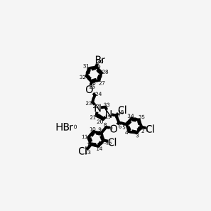 Br.Clc1ccc(C(OCc2ccc(Cl)cc2Cl)C(Cl)N2C=CN(CCOc3ccc(Br)cc3)C2)cc1